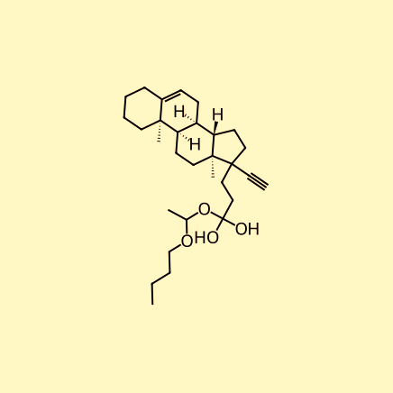 C#CC1(CCC(O)(O)OC(C)OCCCC)CC[C@H]2[C@@H]3CC=C4CCCC[C@]4(C)[C@@H]3CC[C@@]21C